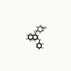 c1ccc(Cc2cc(OC3CCNCC3)c3ncccc3c2)cc1